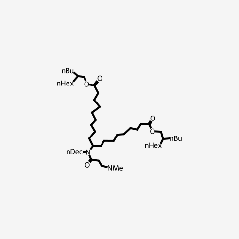 CCCCCCCCCCN(C(=O)CCNC)C(CCCCCCCCC(=O)OCC(CCCC)CCCCCC)CCCCCCCCC(=O)OCC(CCCC)CCCCCC